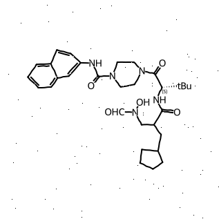 CC(C)(C)[C@H](NC(=O)C(CC1CCCC1)CN(O)C=O)C(=O)N1CCN(C(=O)Nc2ccc3ccccc3c2)CC1